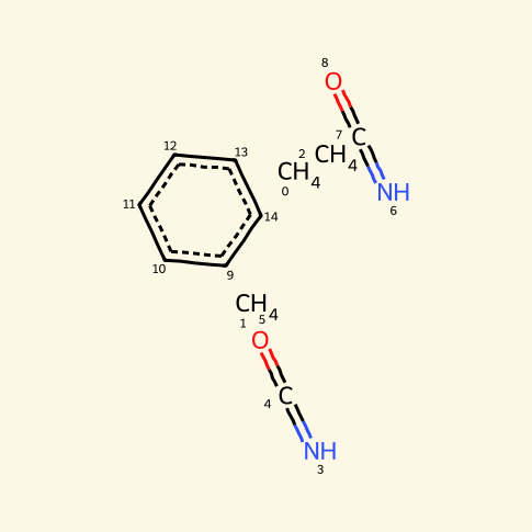 C.C.C.N=C=O.N=C=O.c1ccccc1